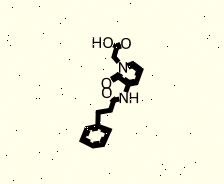 O=C(O)Cn1cccc(NC(=O)CCc2ccccc2)c1=O